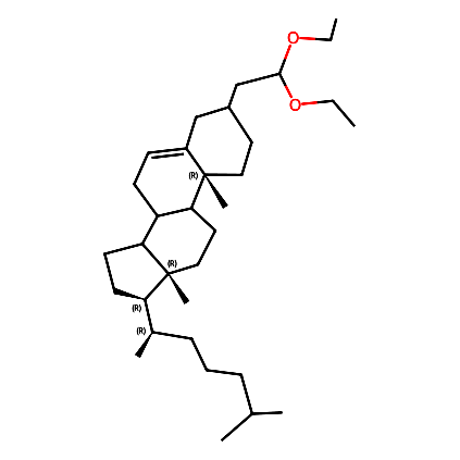 CCOC(CC1CC[C@@]2(C)C(=CCC3C2CC[C@@]2(C)C3CC[C@@H]2[C@H](C)CCCC(C)C)C1)OCC